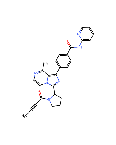 CC#CC(=O)N1CCCC1c1nc(-c2ccc(C(=O)Nc3ccccn3)cc2)c2c(C)nccn12